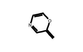 C=C1C=NC=CO1